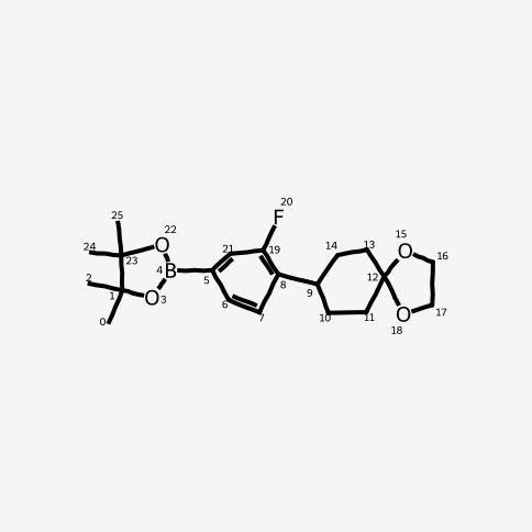 CC1(C)OB(c2ccc(C3CCC4(CC3)OCCO4)c(F)c2)OC1(C)C